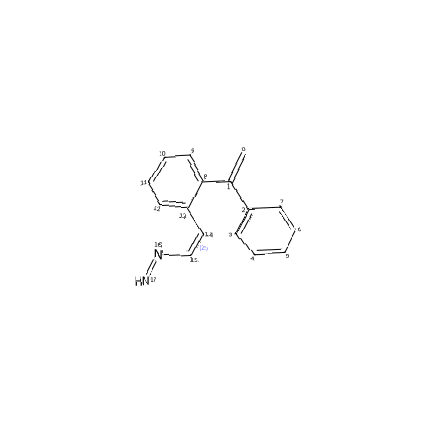 C=C(c1ccccc1)c1ccccc1/C=C\N=N